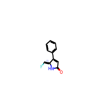 O=C1C=C(c2ccccc2)/C(=C/F)N1